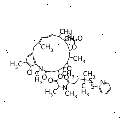 C/C1=C\C=C\C(C)C2(O)CC(OC(=O)N2)C(C)C2OC2(C)C(OC(=O)C(C)N(C)C(=O)CCC(C)(C)SSc2ccccn2)CC(=O)N(C)c2cc(cc(C)c2Cl)C1